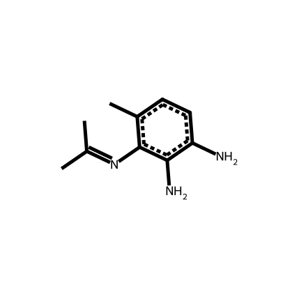 CC(C)=Nc1c(C)ccc(N)c1N